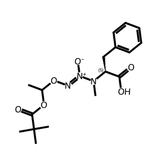 CC(ON=[N+]([O-])N(C)[C@@H](Cc1ccccc1)C(=O)O)OC(=O)C(C)(C)C